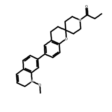 CCC(=O)N1CCC2(CCc3cc(-c4ccc5c(c4)N(OC)CC=C5)ccc3O2)CC1